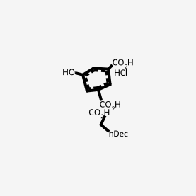 CCCCCCCCCCCC(=O)O.Cl.O=C(O)c1cc(O)cc(C(=O)O)c1